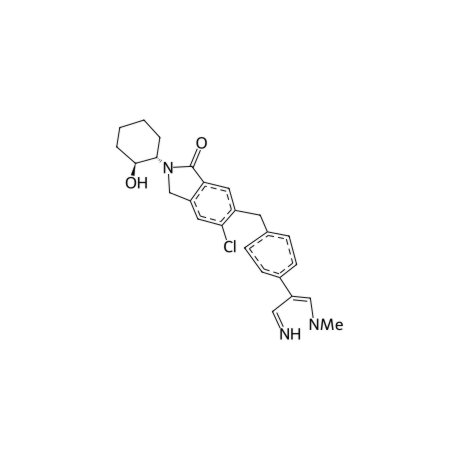 CN/C=C(\C=N)c1ccc(Cc2cc3c(cc2Cl)CN([C@H]2CCCC[C@@H]2O)C3=O)cc1